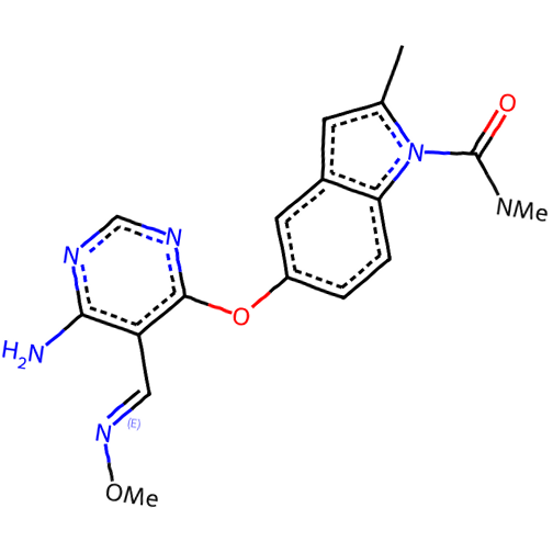 CNC(=O)n1c(C)cc2cc(Oc3ncnc(N)c3/C=N/OC)ccc21